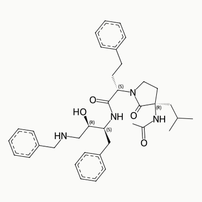 CC(=O)N[C@]1(CC(C)C)CCN([C@@H](CCc2ccccc2)C(=O)N[C@@H](Cc2ccccc2)[C@H](O)CNCc2ccccc2)C1=O